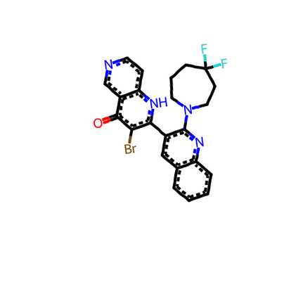 O=c1c(Br)c(-c2cc3ccccc3nc2N2CCCC(F)(F)CC2)[nH]c2ccncc12